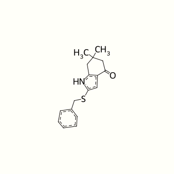 CC1(C)CC(=O)c2cc(SCc3ccccc3)[nH]c2C1